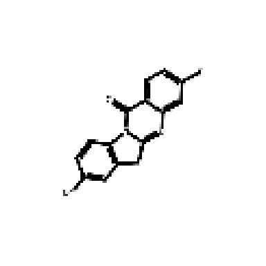 N#Cc1ccc2c(c1)Cc1nc3cc(F)ccc3c(=O)n1-2